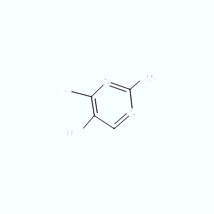 [CH2]Sc1ncc(C)c(C)n1